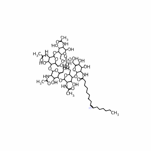 CCCCCC/C=C\CCCCCCCC(=O)NC1C(OC2C(CO)OC(OC3C(CO)OC(OC4C(CO)OC(OC5C(COS(=O)(=O)O)OC(O)C(NC(C)=O)C5O)C(NC(C)=O)C4O)C(NC(C)=O)C3O)C(NC(C)=O)C2O)OC(CO)C(O)C1O